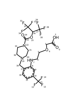 O=C(O)COCCNc1cc(C(F)(F)F)ccc1CN1CCN(C(=O)OC(C(F)(F)F)C(F)(F)F)CC1